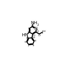 Nc1cc2[nH]c3ccccc3c2c(CI)n1